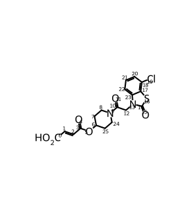 O=C(O)/C=C/C(=O)OC1CCN(C(=O)Cn2c(=O)sc3c(Cl)cccc32)CC1